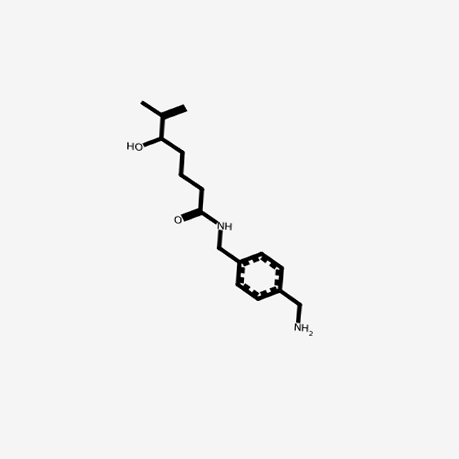 C=C(C)C(O)CCCC(=O)NCc1ccc(CN)cc1